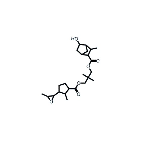 CC1OC1C1CCC(C(=O)OCC(C)(C)COC(=O)C2C3CC(O)C(C3)C2C)C1C